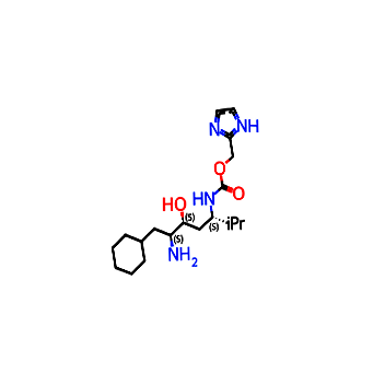 CC(C)[C@H](C[C@H](O)[C@@H](N)CC1CCCCC1)NC(=O)OCc1ncc[nH]1